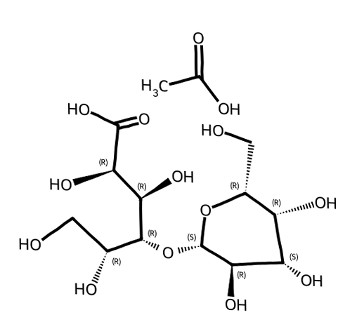 CC(=O)O.O=C(O)[C@H](O)[C@@H](O)[C@H](O[C@@H]1O[C@H](CO)[C@H](O)[C@H](O)[C@H]1O)[C@H](O)CO